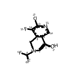 OC1=CN(C(F)F)Cc2c1cnc(Cl)c2F